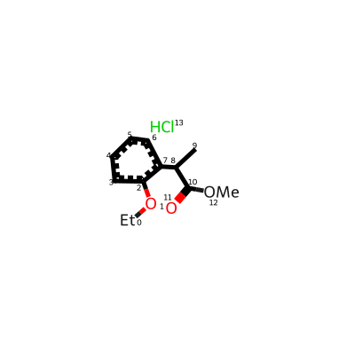 CCOc1ccccc1C(C)C(=O)OC.Cl